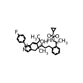 CCC1=Cc2c(cnn2-c2ccc(F)cc2)CC1(C)[C@@H](O)CCc1ccccc1[C@@H](C)NS(=O)(=O)C1CC1